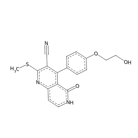 CSc1nc2cc[nH]c(=O)c2c(-c2ccc(OCCO)cc2)c1C#N